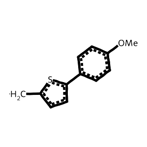 [CH2]c1ccc(-c2ccc(OC)cc2)s1